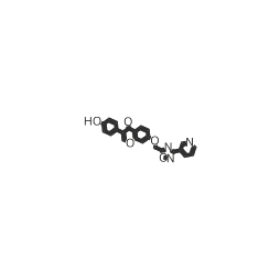 O=c1c(-c2ccc(O)cc2)coc2cc(OCc3nc(-c4cccnc4)no3)ccc12